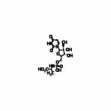 C#C[C@]1(O)C(n2ccc(=O)[nH]c2=O)O[C@H](COP(=O)(O)N[C@@H](C)C(=O)O)[C@H]1O